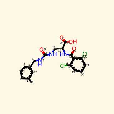 Cc1cccc(CNC(=O)NC[C@H](NC(=O)c2c(Cl)cccc2Cl)C(=O)O)c1